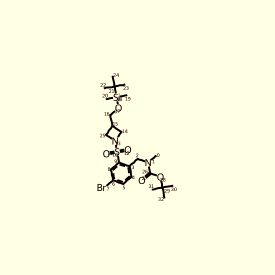 CN(Cc1ccc(Br)cc1S(=O)(=O)N1CC(CO[Si](C)(C)C(C)(C)C)C1)C(=O)OC(C)(C)C